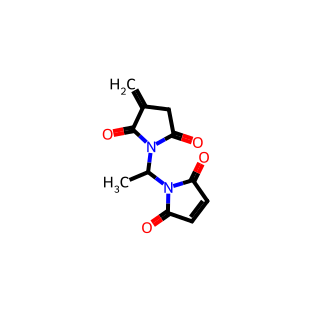 C=C1CC(=O)N(C(C)N2C(=O)C=CC2=O)C1=O